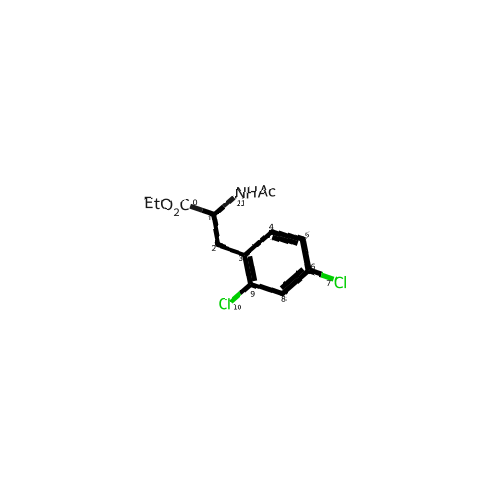 CCOC(=O)C(Cc1ccc(Cl)cc1Cl)NC(C)=O